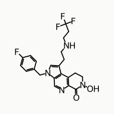 O=C1c2ncc3c(c(CCNCCC(F)(F)F)cn3Cc3ccc(F)cc3)c2CCN1O